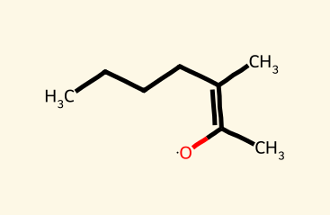 CCCCC(C)=C(C)[O]